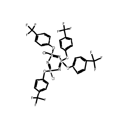 FC(F)(F)c1ccc(OP2(Cl)=NP(Cl)(Oc3ccc(C(F)(F)F)cc3)=NP(Oc3ccc(C(F)(F)F)cc3)(Oc3ccc(C(F)(F)F)cc3)=N2)cc1